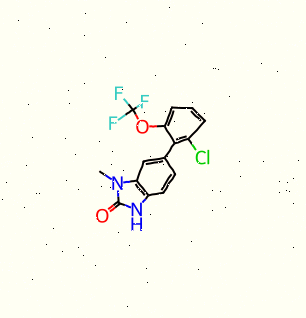 Cn1c(=O)[nH]c2ccc(-c3c(Cl)cccc3OC(F)(F)F)cc21